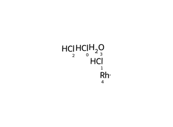 Cl.Cl.Cl.O.[Rh]